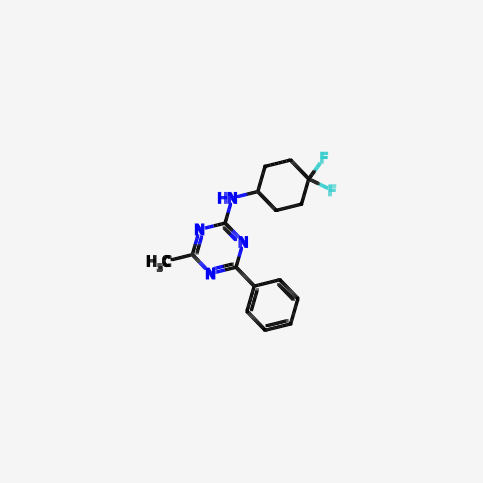 Cc1nc(NC2CCC(F)(F)CC2)nc(-c2ccccc2)n1